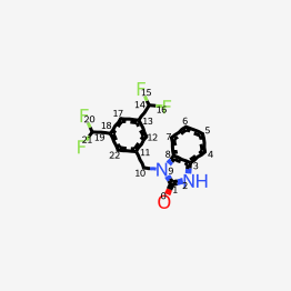 O=c1[nH]c2ccccc2n1Cc1cc(C(F)F)cc(C(F)F)c1